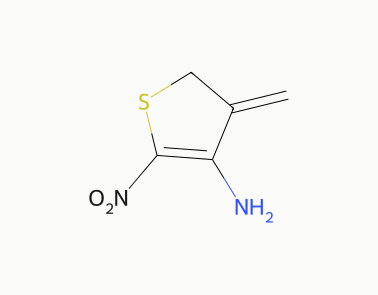 C=C1CSC([N+](=O)[O-])=C1N